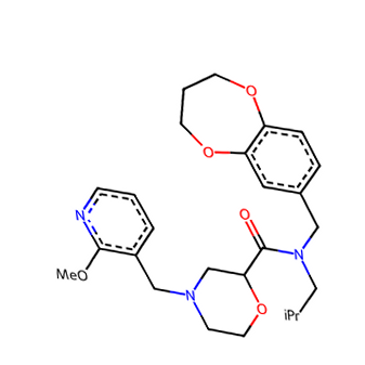 COc1ncccc1CN1CCOC(C(=O)N(Cc2ccc3c(c2)OCCCO3)CC(C)C)C1